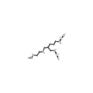 CCCCOCCOCC(CCCN=C=O)CN=C=O